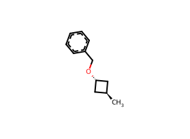 C[C@H]1C[C@H](OCc2ccccc2)C1